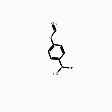 C=COc1ccc(B(O)O)cc1